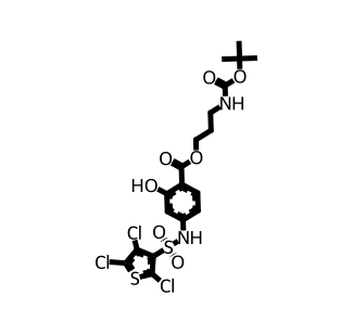 CC(C)(C)OC(=O)NCCCOC(=O)c1ccc(NS(=O)(=O)c2c(Cl)sc(Cl)c2Cl)cc1O